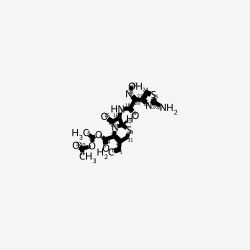 C=CC1=C(C(=O)OC(C)OC(C)=O)N2C(=O)C(NC(=O)C(=NO)c3csc(N)n3)[C@@H]2SC1